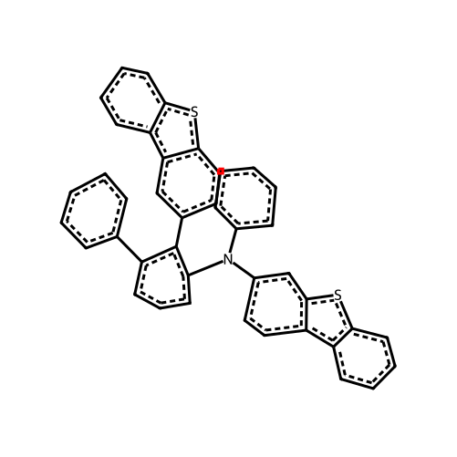 c1ccc(-c2cccc(N(c3ccccc3)c3ccc4c(c3)sc3ccccc34)c2-c2ccc3sc4ccccc4c3c2)cc1